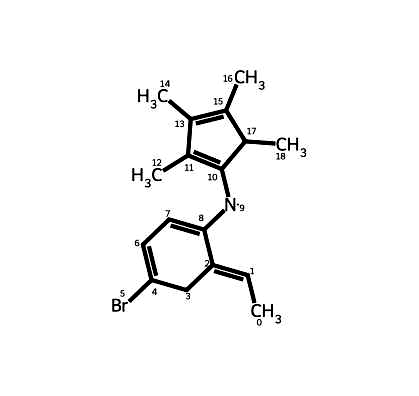 CC=C1CC(Br)=CC=C1[N]C1=C(C)C(C)=C(C)C1C